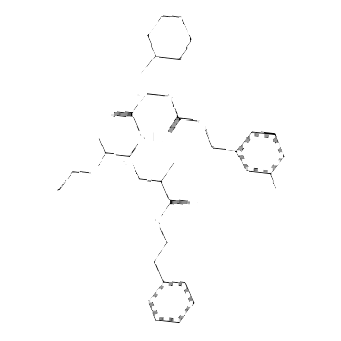 CCOC(O)[C@H](CC(C)C(=O)NCCc1ccccc1)NC(=O)[C@H](CC1CCCCC1)NC(=O)OCc1cccc(Cl)c1